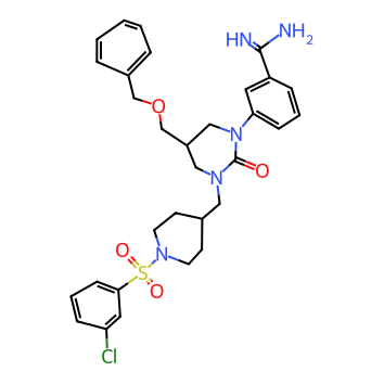 N=C(N)c1cccc(N2CC(COCc3ccccc3)CN(CC3CCN(S(=O)(=O)c4cccc(Cl)c4)CC3)C2=O)c1